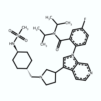 CC(C)N(C(=O)c1cc(F)ccc1-n1cc(C2CCN(C[C@H]3CC[C@H](NS(C)(=O)=O)CC3)C2)c2ccncc21)C(C)C